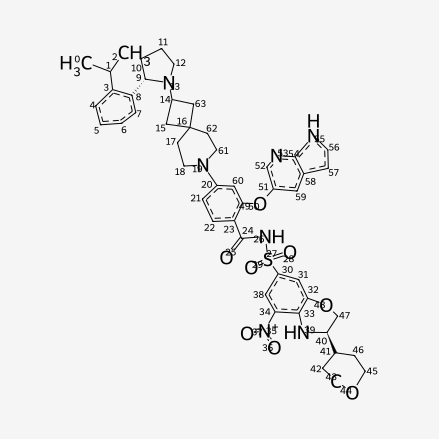 CC(C)c1ccccc1[C@@H]1CCCN1C1CC2(CCN(c3ccc(C(=O)NS(=O)(=O)c4cc5c(c([N+](=O)[O-])c4)N[C@H](C4CCOCC4)CO5)c(Oc4cnc5[nH]ccc5c4)c3)CC2)C1